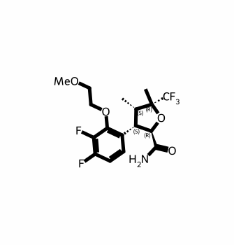 COCCOc1c([C@H]2[C@H](C(N)=O)O[C@@](C)(C(F)(F)F)[C@H]2C)ccc(F)c1F